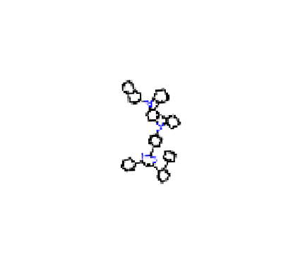 c1ccc(-c2cc(-c3ccccc3-c3ccccc3)nc(-c3ccc(-n4c5ccccc5c5c6c7ccccc7n(-c7ccc8ccccc8c7)c6ccc54)cc3)n2)cc1